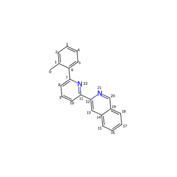 Cc1ccccc1-c1cccc(-c2cc3ccccc3cn2)n1